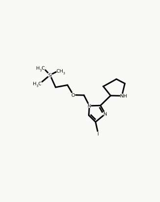 C[Si](C)(C)CCOCn1cc(I)nc1C1CCCN1